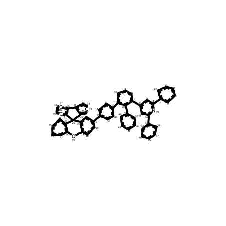 c1ccc(-c2cc(-c3cccc(-c4ccc(-c5ccc6c(c5)C5(c7ccccc7O6)c6ccccc6-c6ccccc65)cc4)c3-c3ccccc3)cc(-c3ccccc3)n2)cc1